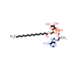 CCCCCCCCCCCCCCCC(=O)OCC(OP(=O)(O)CO[C@H](C)Cn1cnc2c(N)ncnc21)[C@@H]1OC(O)=C(O)C1=O